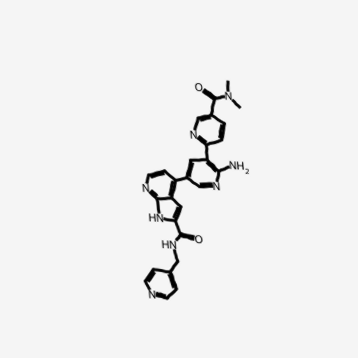 CN(C)C(=O)c1ccc(-c2cc(-c3ccnc4[nH]c(C(=O)NCc5ccncc5)cc34)cnc2N)nc1